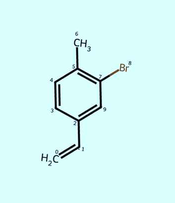 C=[C]c1ccc(C)c(Br)c1